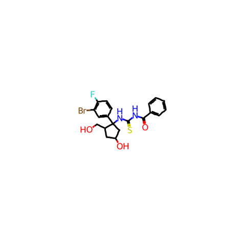 O=C(NC(=S)NC1(c2ccc(F)c(Br)c2)CC(O)CC1CO)c1ccccc1